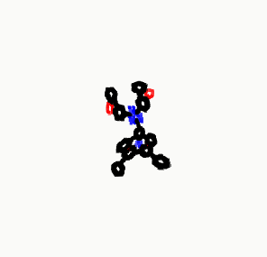 c1ccc(-c2ccc3c(c2)c2cc(-c4ccccc4)ccc2n3-c2c(-c3ccccc3)cc(-c3nc(-c4ccc5oc6ccccc6c5c4)nc(-c4ccc5oc6ccccc6c5c4)n3)cc2-c2ccccc2)cc1